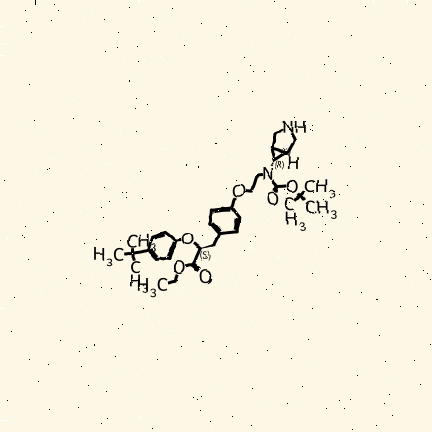 CCOC(=O)[C@H](Cc1ccc(OCCN(C(=O)OC(C)(C)C)[C@@H]2C3CNC[C@H]32)cc1)Oc1ccc(C(C)(C)C)cc1